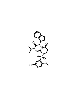 COc1ccc(Cl)cc1S(=O)(=O)N1CCC(=O)N2C1=CN(C(C)C)C(=O)C2C1CCc2ccccc21